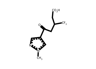 Cn1cc(C(=O)CC(CC(=O)O)C(F)(F)F)cn1